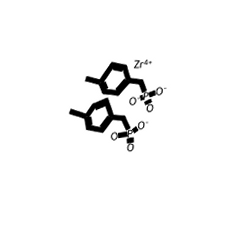 Cc1ccc(CP(=O)([O-])[O-])cc1.Cc1ccc(CP(=O)([O-])[O-])cc1.[Zr+4]